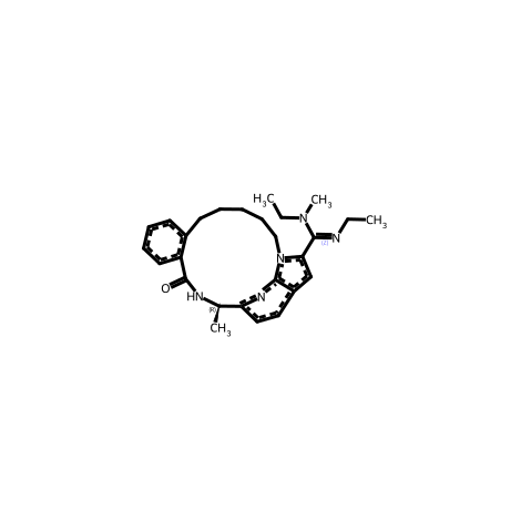 CC/N=C(/c1cc2ccc3nc2n1CCCCCc1ccccc1C(=O)N[C@@H]3C)N(C)CC